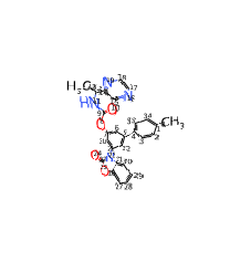 Cc1ccc(-c2cc(OC(=O)NC(C)c3cnccn3)cc(-n3c(=O)oc4ccccc43)c2)cc1